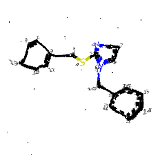 C1=CC(CSc2nccn2Cc2ccccc2)=CCC1